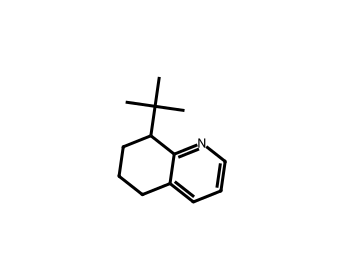 CC(C)(C)C1CCCc2cccnc21